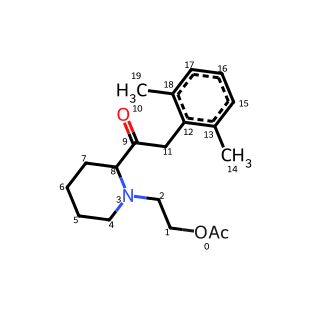 CC(=O)OCCN1CCCCC1C(=O)Cc1c(C)cccc1C